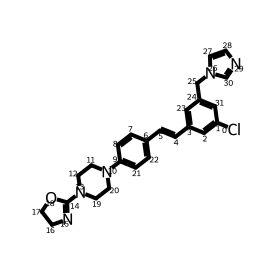 Clc1cc(C=Cc2ccc(N3CCN(C4=NCCO4)CC3)cc2)cc(Cn2ccnc2)c1